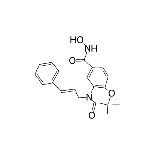 CC1(C)Oc2ccc(C(=O)NO)cc2N(C/C=C/c2ccccc2)C1=O